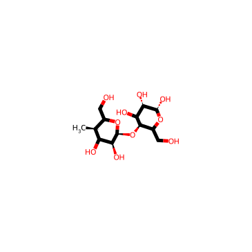 C[C@H]1C(CO)O[C@@H](O[C@@H]2C(CO)O[C@@H](O)[C@@H](O)C2O)[C@@H](O)C1O